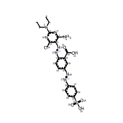 CCN(CC)c1nc(N)c(/N=N/c2ccc(/N=N/c3ccc(S(=O)(=O)O)cc3)cc2C(=O)O)c(Cl)n1